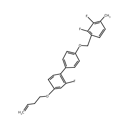 C=CCCOc1ccc(-c2ccc(OCc3ccc(C)c(F)c3F)cc2)c(F)c1